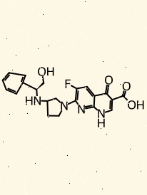 O=C(O)c1c[nH]c2nc(N3CCC(N[C@H](CO)c4ccccc4)C3)c(F)cc2c1=O